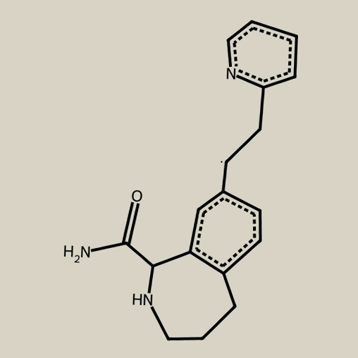 NC(=O)C1NCCCc2ccc([CH]Cc3ccccn3)cc21